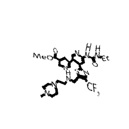 CCNC(=O)Nc1cc(-c2nc(C(F)(F)F)c(CNCCN3CCN(C)CC3)s2)c(-c2cncc(C(=O)OC)c2)cn1